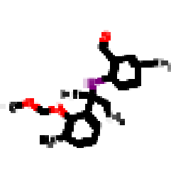 CCC(C)(Pc1ccc(C)cc1C=O)c1cccc(C)c1OCOC